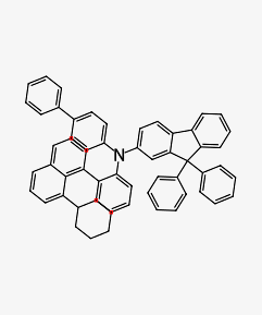 c1ccc(-c2ccc(N(c3ccc4c(c3)C(c3ccccc3)(c3ccccc3)c3ccccc3-4)c3ccccc3-c3cccc4cccc(C5CCCCC5)c34)cc2)cc1